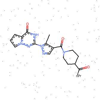 CCCC(=O)C1CCN(C(=O)c2cnn(-c3nn4cccc4c(=O)[nH]3)c2C)CC1